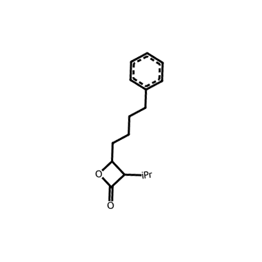 CC(C)C1C(=O)OC1CCCCc1ccccc1